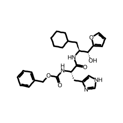 O=C(N[C@@H](Cc1c[nH]cn1)C(=O)N[C@@H](CC1CCCCC1)[C@@H](O)c1ccco1)OCc1ccccc1